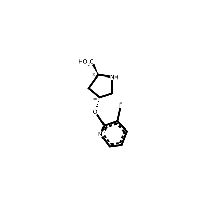 O=C(O)[C@@H]1C[C@@H](Oc2ncccc2F)CN1